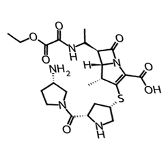 CCOC(=O)C(=O)NC(C)[C@H]1C(=O)N2C(C(=O)O)=C(S[C@@H]3CN[C@H](C(=O)N4CC[C@H](N)C4)C3)[C@H](C)[C@H]12